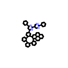 c1ccc(-c2cc(-c3ccc4c5ccccc5c5ccccc5c5ccccc5c5c(cc6ccc7cccc8ccc5c6c78)c4c3)nc(-c3cnc(-c4ccccc4)nc3)n2)cc1